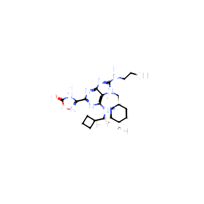 CCCNc1nc2nc(-c3noc(=O)[nH]3)nc(N[C@H](C)C3CCC3)c2n1C[C@H]1CC[C@H](C)CC1